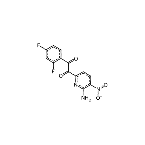 Nc1nc(C(=O)C(=O)c2ccc(F)cc2F)ccc1[N+](=O)[O-]